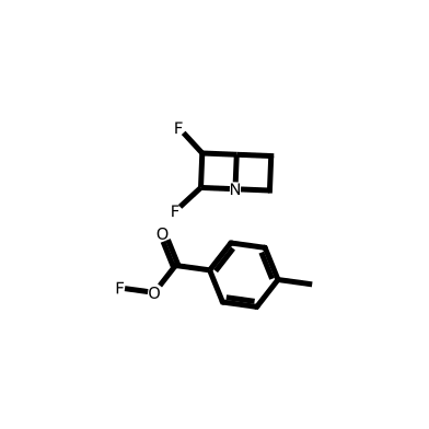 Cc1ccc(C(=O)OF)cc1.FC1C(F)N2CCC12